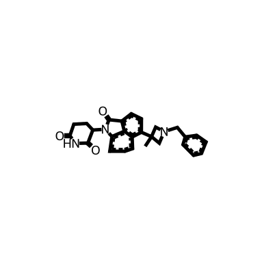 CC1(c2ccc3c4c(cccc24)N(C2CCC(=O)NC2=O)C3=O)CN(Cc2ccccc2)C1